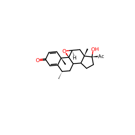 CC(=O)[C@@]1(O)CCC2C3C[C@H](C)C4=CC(=O)C=C[C@]4(C)[C@@]34O[C@H]4C[C@@]21C